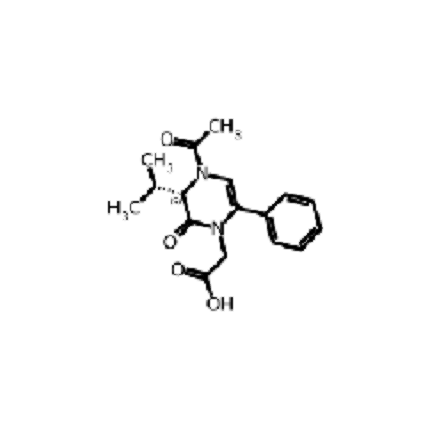 CC(=O)N1C=C(c2ccccc2)N(CC(=O)O)C(=O)[C@@H]1C(C)C